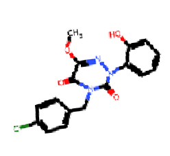 COc1nn(-c2ccccc2O)c(=O)n(Cc2ccc(Cl)cc2)c1=O